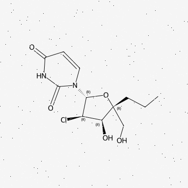 CCC[C@]1(CO)O[C@@H](n2ccc(=O)[nH]c2=O)[C@H](Cl)[C@@H]1O